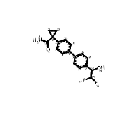 NC(=O)C1(c2ccc(-c3ccc(C(O)C(F)F)cc3)cc2)CC1